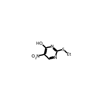 CCSc1ncc([N+](=O)[O-])c(O)n1